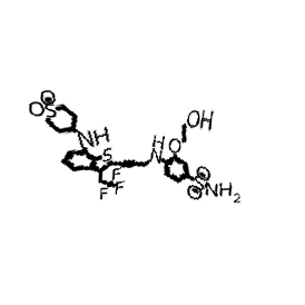 NS(=O)(=O)c1ccc(NCC#Cc2sc3c(NC4CCS(=O)(=O)CC4)cccc3c2CC(F)(F)F)c(OCCO)c1